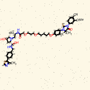 COc1cc(N2C(=O)C(C)(C)N(c3ccc(OCCCCCOCCCOCC(=O)N[C@H](CN4C[C@H](O)C[C@H]4C(O)NCc4ccc(-c5scnc5C)cc4)C(C)(C)C)cc3)C2=S)ccc1C#N